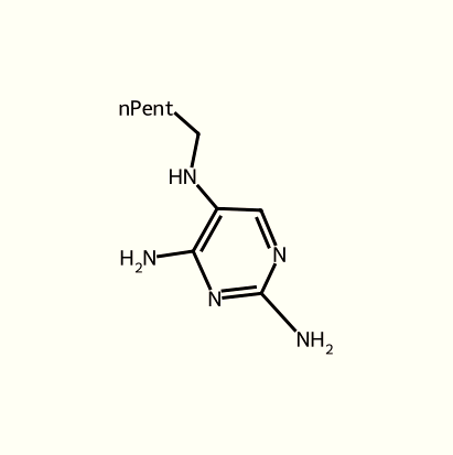 CCCCCCNc1cnc(N)nc1N